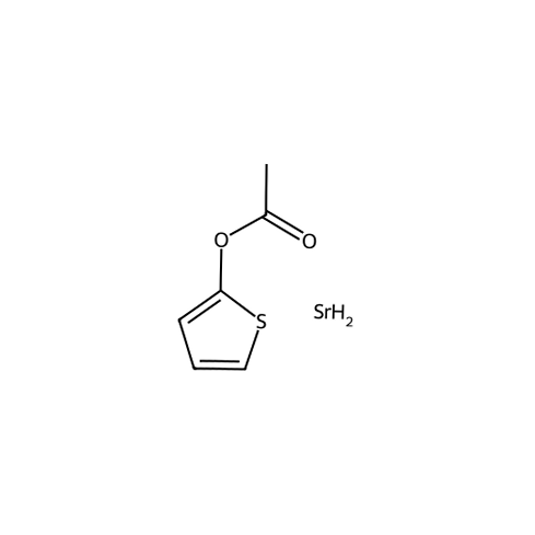 CC(=O)Oc1cccs1.[SrH2]